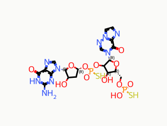 Nc1nc2c(ncn2[C@@H]2O[C@H](OP(=O)(S)OC3[C@H](n4cnn5ccnc5c4=O)O[C@H](COP(=O)(O)S)[C@H]3O)CC2O)c(=O)[nH]1